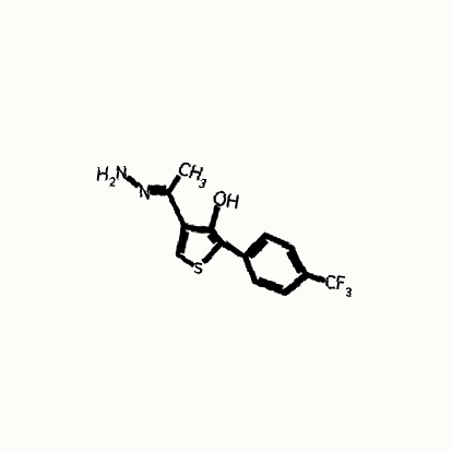 CC(=NN)c1csc(-c2ccc(C(F)(F)F)cc2)c1O